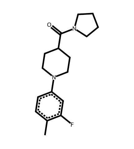 Cc1ccc(N2CCC(C(=O)N3CCCC3)CC2)cc1F